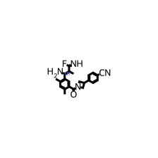 C/C(C(=N)F)=C(/N)c1cc(C(=O)N2CC(c3ccc(C#N)cc3)C2)c(C)cc1C